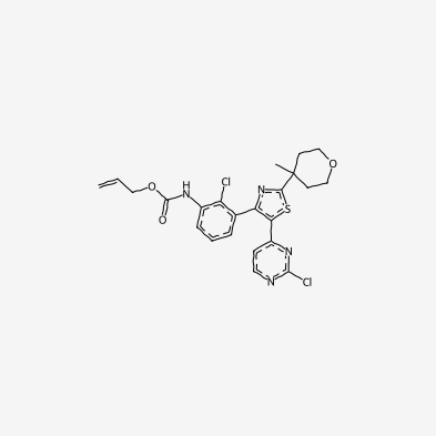 C=CCOC(=O)Nc1cccc(-c2nc(C3(C)CCOCC3)sc2-c2ccnc(Cl)n2)c1Cl